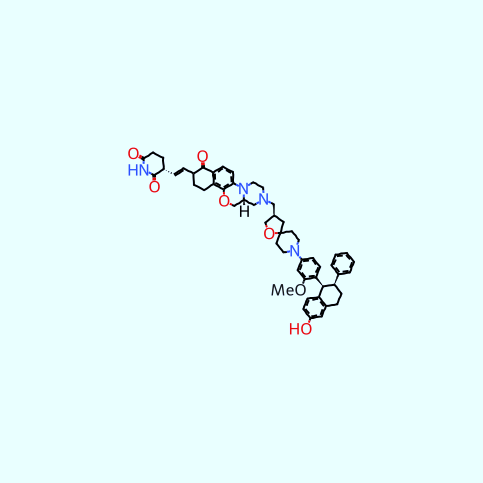 COc1cc(N2CCC3(CC2)C[C@H](CN2CCN4c5ccc6c(c5OC[C@H]4C2)CCC(/C=C/[C@H]2CCC(=O)NC2=O)C6=O)CO3)ccc1[C@@H]1c2ccc(O)cc2CC[C@@H]1c1ccccc1